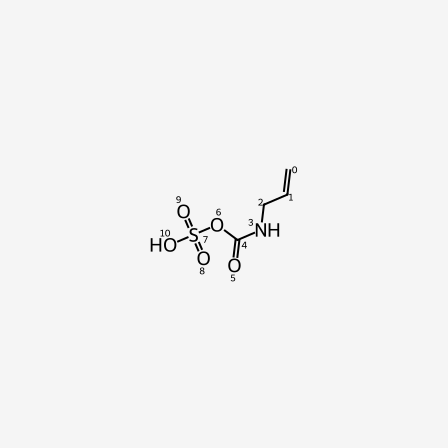 C=CCNC(=O)OS(=O)(=O)O